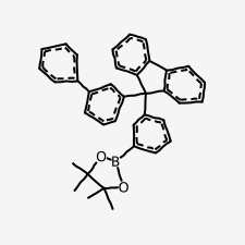 CC1(C)OB(c2cccc(C3(c4cccc(-c5ccccc5)c4)c4ccccc4-c4ccccc43)c2)OC1(C)C